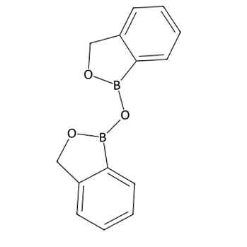 c1ccc2c(c1)COB2OB1OCc2ccccc21